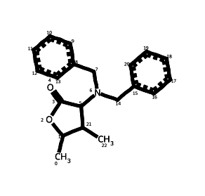 CC1OC(=O)C(N(Cc2ccccc2)Cc2ccccc2)C1C